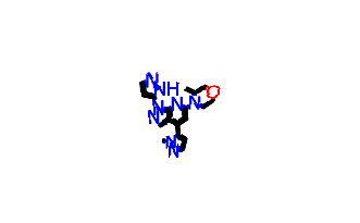 CC1COCCN1c1cc(-c2ccnn2C)c2cnn(-c3ccn[nH]3)c2n1